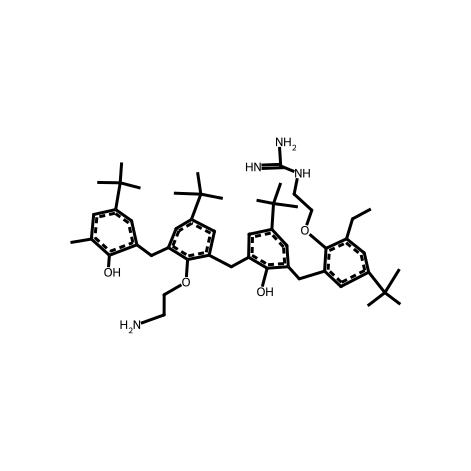 CCc1cc(C(C)(C)C)cc(Cc2cc(C(C)(C)C)cc(Cc3cc(C(C)(C)C)cc(Cc4cc(C(C)(C)C)cc(C)c4O)c3OCCN)c2O)c1OCCNC(=N)N